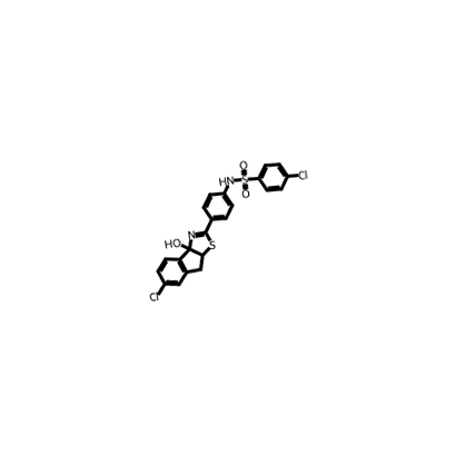 O=S(=O)(Nc1ccc(C2=NC3(O)c4ccc(Cl)cc4CC3S2)cc1)c1ccc(Cl)cc1